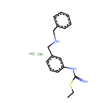 CCSC(=N)Nc1cccc(CNCc2ccccc2)c1.Cl.Cl